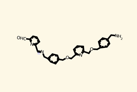 NCc1ccc(COCc2cccc(COCc3ccc(C/N=C/c4cccc(C=O)n4)cc3)n2)cc1